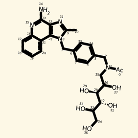 CC(=O)N(Cc1ccc(Cn2c(C)nc3c(N)nc4ccccc4c32)cc1)CC(O)[C@H](O)[C@H](O)C(O)CO